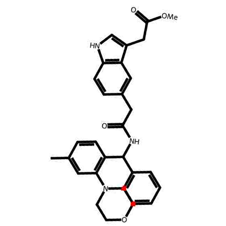 COC(=O)Cc1c[nH]c2ccc(CC(=O)NC(c3ccccc3)c3ccc(C)cc3N3CCOCC3)cc12